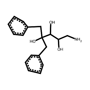 NCC(O)C(O)C(O)(Cc1ccccc1)Cc1ccccc1